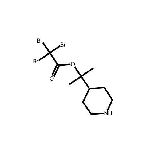 CC(C)(OC(=O)C(Br)(Br)Br)C1CCNCC1